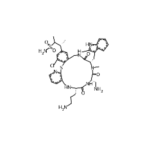 Cc1[nH]c2ccccc2c1C[C@H]1C(=O)NCc2cc([C@@H](C)C(C)S(N)(=O)=O)cc(Cl)c2Sc2ncccc2CN[C@@H](CCCN)C(=O)N[C@@H](CN)C(=O)N1C